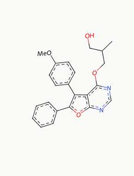 COc1ccc(-c2c(-c3ccccc3)oc3ncnc(OCC(C)CO)c23)cc1